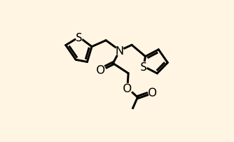 CC(=O)OCC(=O)N(Cc1cccs1)Cc1cccs1